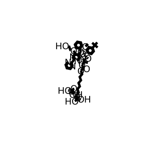 COc1ccccc1Oc1c(OCCO)nc(-c2ncccn2)nc1N(C(C)OC(=O)OCCCCCC(CON(O)O)ON(O)O)S(=O)(=O)c1ccc(C(C)(C)C)cc1